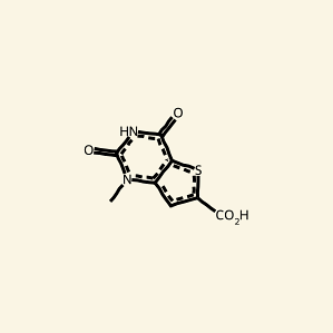 Cn1c(=O)[nH]c(=O)c2sc(C(=O)O)cc21